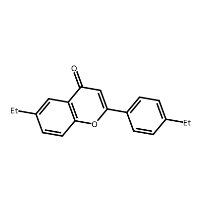 CCc1ccc(-c2cc(=O)c3cc(CC)ccc3o2)cc1